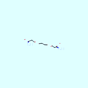 COC(=N)CCOCCCCOCCC(=N)OC